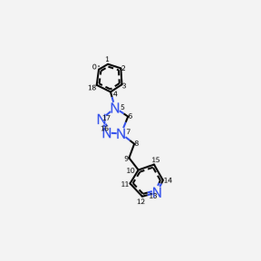 [c]1cccc(N2CN(CCc3ccncc3)N=N2)c1